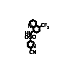 N#Cc1ccc(S(=O)(=O)Nc2ccc(C(F)(F)F)c3cccnc23)cn1